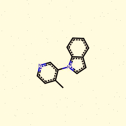 Cc1ccncc1-n1ccc2ccccc21